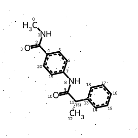 CNC(=O)c1ccc(NC(=O)[C@@H](C)c2ccccc2)cc1